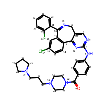 O=C(c1ccc(Nc2ncc3c(n2)-c2ccc(Cl)cc2C(c2ccccc2F)=NC3)cc1)N1CCN(CCCN2CCCC2)CC1